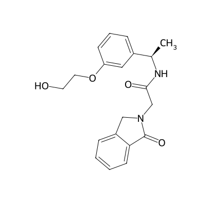 C[C@@H](NC(=O)CN1Cc2ccccc2C1=O)c1cccc(OCCO)c1